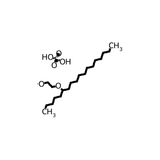 CCCCCCCCCCCCC(CCCCC)OCC[O].O=S(=O)(O)O